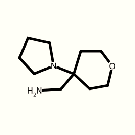 NCC1(N2CCCC2)CCOCC1